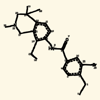 CCc1ccc(C(=O)Nc2ccc3c(c2CC)CN(C)CC3(C)C)cc1Br